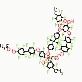 COCOc1c(F)c(F)c(-c2c(F)c(F)c(Oc3c(F)c(O)c(S(=O)(=O)c4c(F)c(F)c(C)c(F)c4F)c(Oc4ccc(C(c5ccc(Oc6c(F)c(Oc7c(F)c(F)c(-c8c(F)c(F)c(OCOC)c(F)c8F)c(F)c7F)c(F)c(F)c6S(=O)(=O)c6c(F)c(F)c(C)c(F)c6F)cc5)(C(F)(F)F)C(F)(F)F)cc4)c3F)c(F)c2F)c(F)c1F